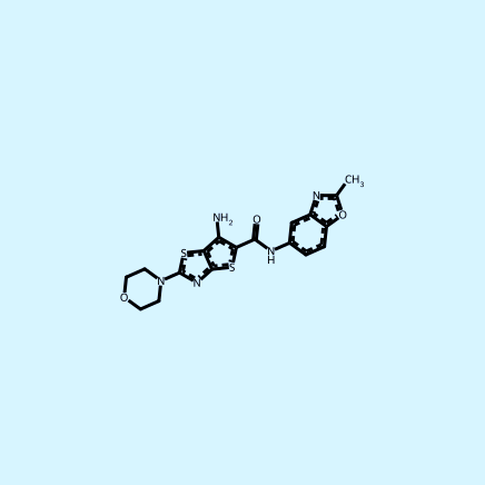 Cc1nc2cc(NC(=O)c3sc4nc(N5CCOCC5)sc4c3N)ccc2o1